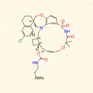 CNCCNC(=O)O[C@H]1C=CCOC(C)(C)C(=O)NS(=O)(=O)c2ccc3c(c2)N(C[C@@H]2CC[C@H]21)C[C@@]1(CCCc2cc(Cl)ccc21)CO3